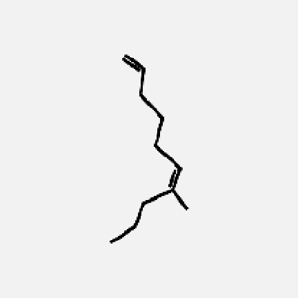 C=CCCCC=C(C)CCC